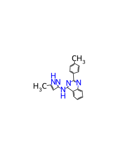 Cc1ccc(-c2nc(Nc3cc(C)[nH]n3)c3ccccc3n2)cc1